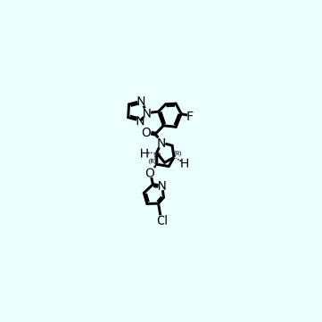 O=C(c1cc(F)ccc1-n1nccn1)N1C[C@H]2C[C@@H](Oc3ccc(Cl)cn3)[C@@H]1C2